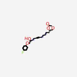 O=C1COC[C@@H](C/C=C/C=C/C#C/C=C/[C@H](O)COc2ccc(F)cc2)O1